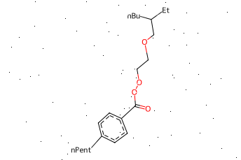 CCCCCc1ccc(C(=O)OO[CH]COCC(CC)CCCC)cc1